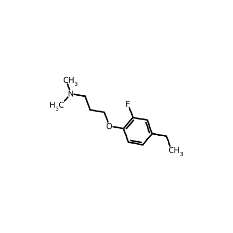 CCc1ccc(OCCCN(C)C)c(F)c1